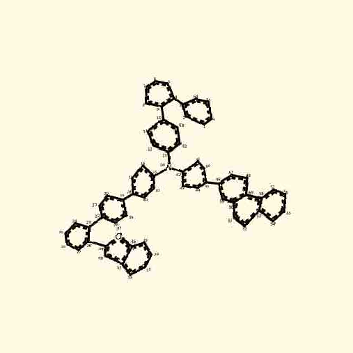 c1ccc(-c2ccccc2-c2ccc(N(c3ccc(-c4ccc(-c5ccccc5-c5cc6ccccc6o5)cc4)cc3)c3ccc(-c4ccc5c(ccc6ccccc65)c4)cc3)cc2)cc1